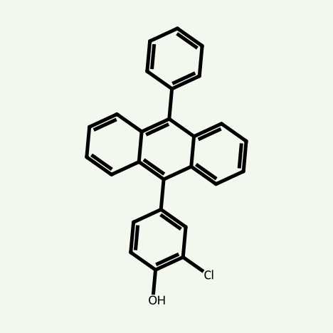 Oc1ccc(-c2c3ccccc3c(-c3ccccc3)c3ccccc23)cc1Cl